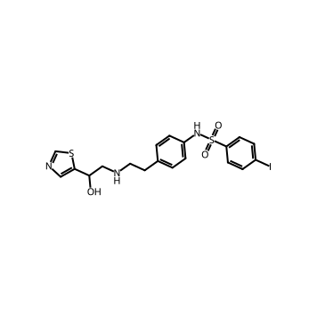 O=S(=O)(Nc1ccc(CCNCC(O)c2cncs2)cc1)c1ccc(I)cc1